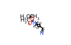 CC(C)(C)OC(=O)N1CC2(CC(CC#N)C2)C1